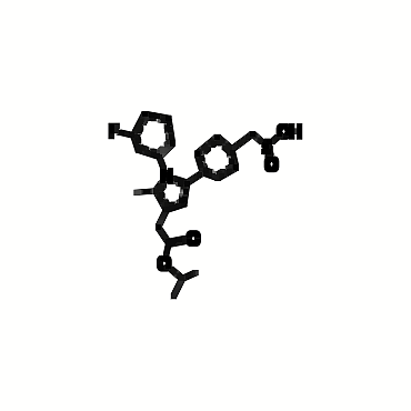 Cc1c(CC(=O)OC(C)C)cc(-c2ccc(CS(=O)O)cc2)n1-c1cccc(F)c1